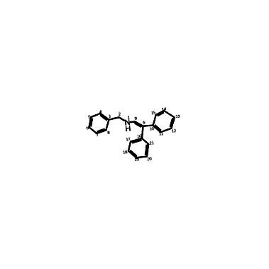 C(NCc1ccccc1)=C(c1ccccc1)c1ccccc1